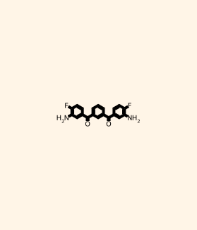 Nc1cc(C(=O)c2cccc(C(=O)c3ccc(F)c(N)c3)c2)ccc1F